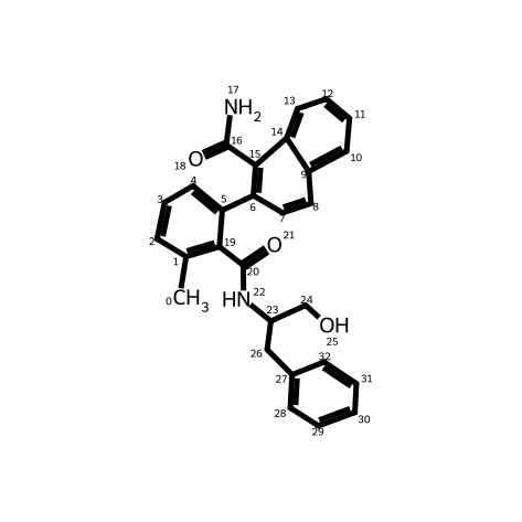 Cc1cccc(-c2ccc3ccccc3c2C(N)=O)c1C(=O)NC(CO)Cc1ccccc1